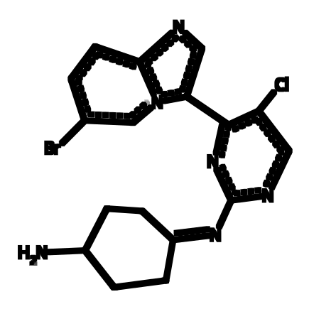 NC1CCC(=Nc2ncc(Cl)c(-c3cnc4ccc(Br)cn34)n2)CC1